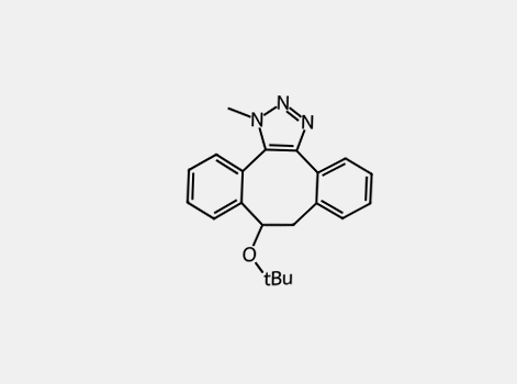 Cn1nnc2c1-c1ccccc1C(OC(C)(C)C)Cc1ccccc1-2